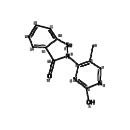 Cc1cnc(O)nc1-n1[se]c2ccccc2c1=O